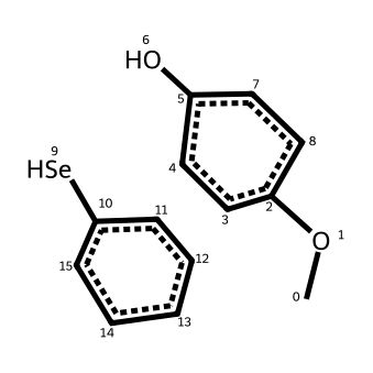 COc1ccc(O)cc1.[SeH]c1ccccc1